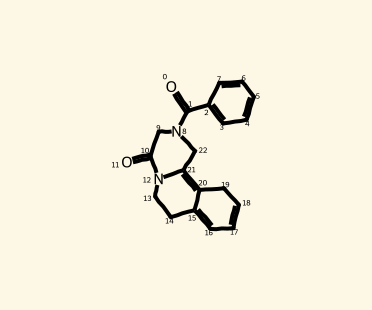 O=C(c1ccccc1)N1CC(=O)N2CCC3=CC=CCC3=C2C1